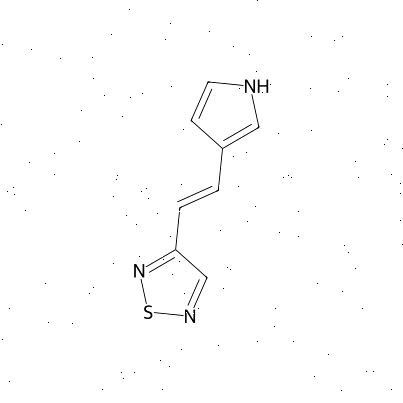 C(=Cc1cnsn1)c1cc[nH]c1